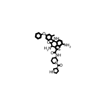 Cc1cc(Oc2ccccc2)ccc1C1(N)C(=O)C(N)c2c(C(=O)N[C@@H]3CCCN(C(=O)[C@H]4CCNC4)C3)sc3c(N)ccc1c23